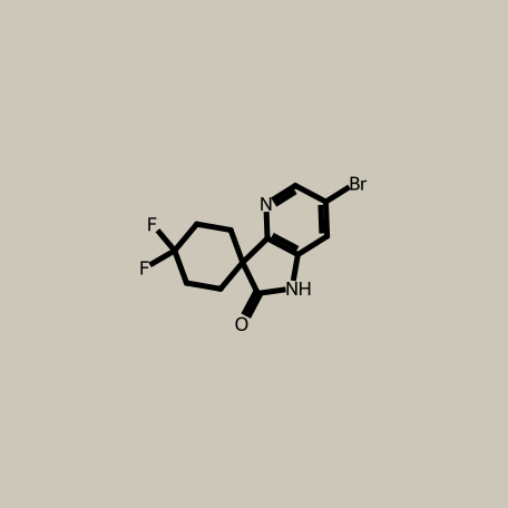 O=C1Nc2cc(Br)cnc2C12CCC(F)(F)CC2